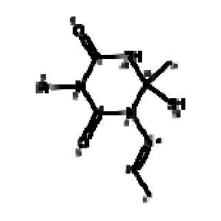 CC=NN1C(=O)N(C(C)C)C(=O)NC1(C)S